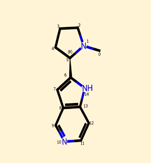 CN1CCC[C@@H]1c1cc2cnccc2[nH]1